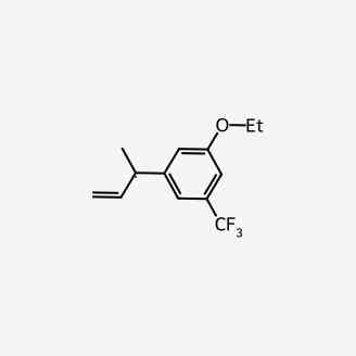 C=C[C](C)c1cc(OCC)cc(C(F)(F)F)c1